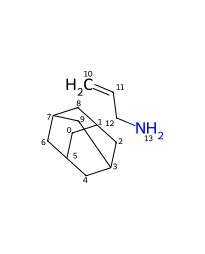 C1C2CC3CC1CC(C2)C3.C=CCN